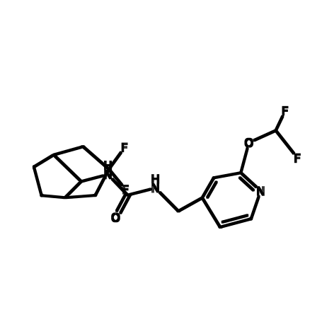 O=C(NCc1ccnc(OC(F)F)c1)NC1C2CCC1CC(F)(F)C2